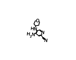 N#Cc1cc(N)c(NC2CCOCC2)cn1